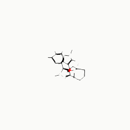 Cc1nn(C)c(C)c1C(=O)N1[C@@H]2CCC[C@@]1(C)Cc1c2nn(C)c1-c1cc(F)c(F)c(F)c1